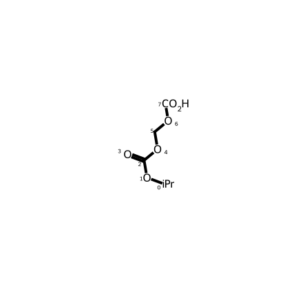 CC(C)OC(=O)OCOC(=O)O